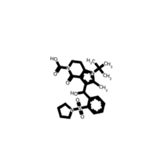 Cc1c(C(O)c2ccccc2S(=O)(=O)N2CCCC2)c2c(n1C(C)(C)C)CCN(C(=O)O)C2=O